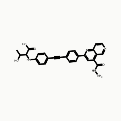 CC(O)C(Nc1ccc(C#Cc2ccc(-c3cc(C(=O)NN)c4cnccc4n3)cc2)cc1)C(=O)O